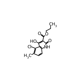 CCCOC(=O)c1c(O)c2c(Cl)c(C)ccc2[nH]c1=O